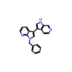 c1ccc(Cn2cc(-c3c[nH]c4cnccc34)c3cccnc32)cc1